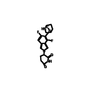 O=C1CCC(n2cc3cc(F)c(N4CC5CCC4CN5)c(F)c3c2)C(=O)N1